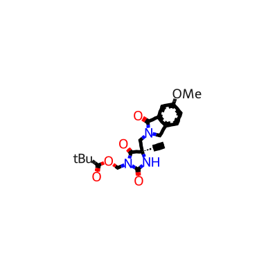 C#C[C@]1(CN2Cc3ccc(OC)cc3C2=O)NC(=O)N(COC(=O)C(C)(C)C)C1=O